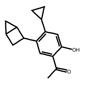 CC(=O)c1cc(C2CC3CC32)c(C2CC2)cc1O